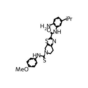 COc1ccc(NC(=S)N2CCc3nc(C(=O)Nc4cc(C(C)C)ccc4N)sc3C2)cc1